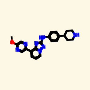 COc1cnc(-c2cccn3nc(Nc4ccc(C5CCNCC5)cc4)nc23)cn1